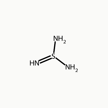 N=S(N)N